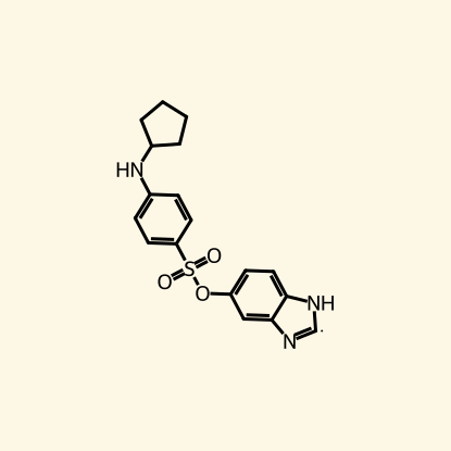 O=S(=O)(Oc1ccc2[nH][c]nc2c1)c1ccc(NC2CCCC2)cc1